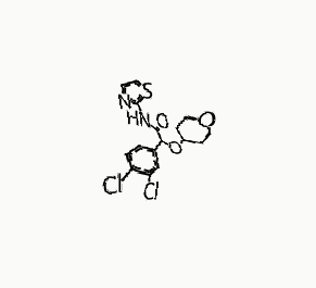 O=C(Nc1nccs1)C(OC1CCOCC1)c1ccc(Cl)c(Cl)c1